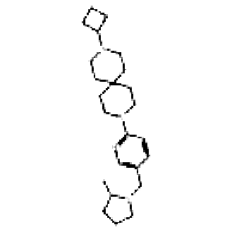 CC1CCCN1Cc1ccc(N2CCC3(CC2)CCN(C2CCC2)CC3)nc1